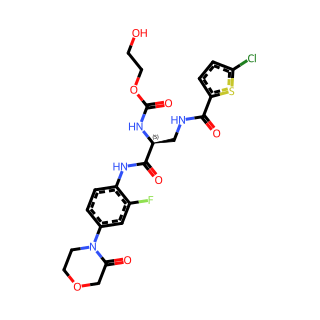 O=C(N[C@@H](CNC(=O)c1ccc(Cl)s1)C(=O)Nc1ccc(N2CCOCC2=O)cc1F)OCCO